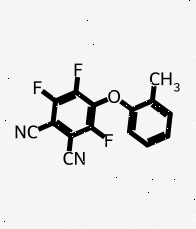 Cc1ccccc1Oc1c(F)c(F)c(C#N)c(C#N)c1F